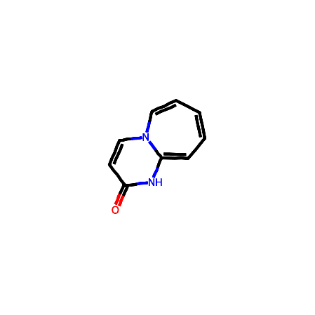 O=C1C=CN2C=CC=CC=C2N1